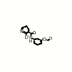 O=COc1cccc(NC(=O)c2cccnc2Cl)c1